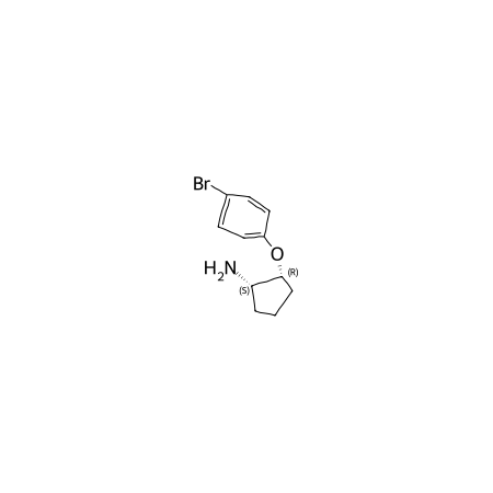 N[C@H]1CCC[C@H]1Oc1ccc(Br)cc1